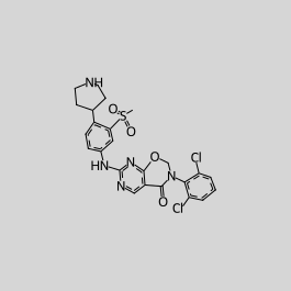 CS(=O)(=O)c1cc(Nc2ncc3c(n2)OCN(c2c(Cl)cccc2Cl)C3=O)ccc1C1CCNCC1